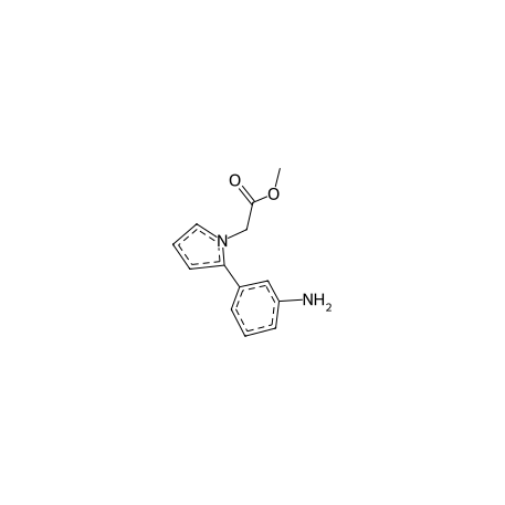 COC(=O)Cn1cccc1-c1cccc(N)c1